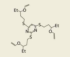 C=COC(CC)CCSc1cc(SCCC(CC)OC=C)nc(SCCC(CC)OC=C)n1